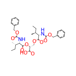 CC[C@H](C)[C@H](NC(=O)OCc1ccccc1)C(=O)OC[C@@H](OC(=O)[C@@H](NC(=O)OCc1ccccc1)[C@@H](C)CC)C(=O)O